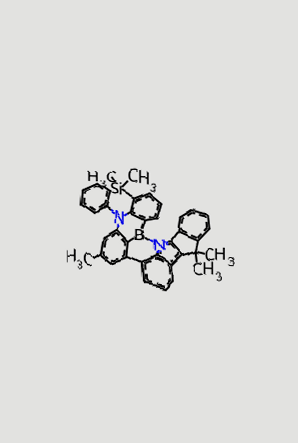 Cc1cc2c3c(c1)N1c4ccccc4[Si](C)(C)c4cccc(c41)B3n1c3c(c4cccc-2c41)C(C)(C)c1ccccc1-3